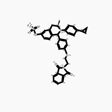 C[C@@H]1Cc2cc(OS(=O)(=O)C(F)(F)F)ccc2C(c2ccc(OCCN3C(=O)c4ccccc4C3=O)cc2)N1c1ccc(C2CC2)cc1